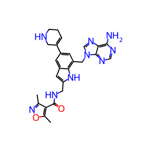 Cc1noc(C)c1C(=O)NCc1cc2cc(C3=CCCNC3)cc(Cn3cnc4c(N)ncnc43)c2[nH]1